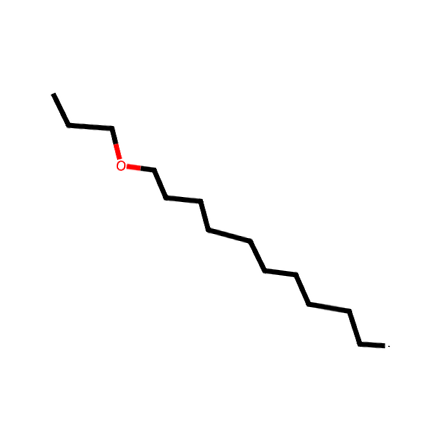 [CH2]CCCCCCCCCCOCCC